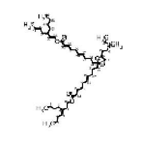 CCCCC(CCCC)CCOC(=O)CCCCCCCCCC1(CCCCCCCCCC(=O)OCCC(CCCC)CCCC)OCC(CCN(C)CC)O1